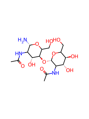 CC(=O)NC1[C@H](O[C@@H]2C(CO)O[C@@H](N)C(NC(C)=O)[C@H]2O)OC(CO)[C@@H](O)[C@@H]1O